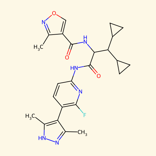 Cc1nocc1C(=O)NC(C(=O)Nc1ccc(-c2c(C)n[nH]c2C)c(F)n1)C(C1CC1)C1CC1